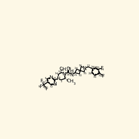 C[C@@H]1CN(c2ncc(C(F)(F)F)cn2)C[C@H](C)N1C(=O)NC1CC2(C1)CN(Cc1ccc(F)c(F)c1)C2